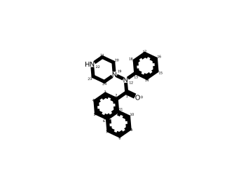 O=C(c1cccc2ccccc12)N(c1ccccc1)N1CCNCC1